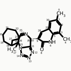 Cc1cc(C)c2[nH]c(=O)c([C@@H]3c4nnnn4C4(C)C5CCCCC4N3CCC5)cc2c1